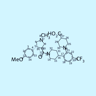 COc1ccc([C@@H]2CN(C)C[C@H]2C(=O)N2CCC(c3ccc(C(F)(F)F)cc3N3CCC(C(=O)O)CC3)CC2)cc1